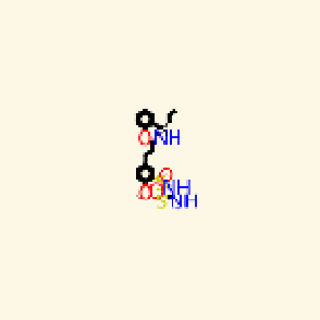 CCC[C@H](NC(=O)CCc1ccc(OC)c(S(=O)(=O)NC(=S)NC)c1)c1ccccc1